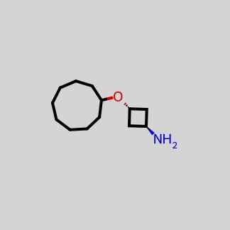 N[C@H]1C[C@H](OC2CCCCCCCC2)C1